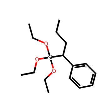 CCCC(c1ccccc1)[Si](OCC)(OCC)OCC